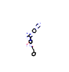 COc1cc(-c2cn(C3CCC(N4CCN(C)CC4)CC3)c3ncnc(N)c23)ccc1NC(=O)CCc1ccccc1